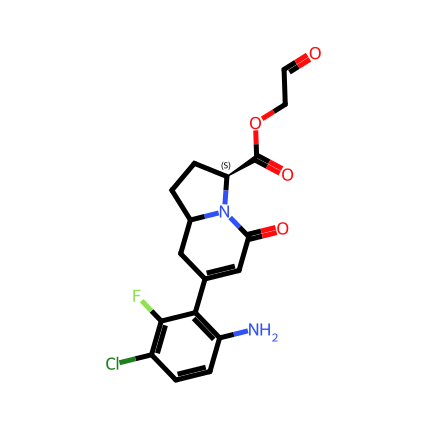 Nc1ccc(Cl)c(F)c1C1=CC(=O)N2C(CC[C@H]2C(=O)OCC=O)C1